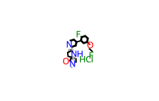 CN1CC[C@@]2(CC[C@H](c3cc(-c4cc(OCCF)ccc4F)ccn3)N2)C1=O.Cl